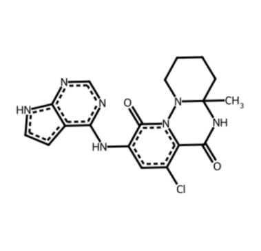 CC12CCCCN1n1c(c(Cl)cc(Nc3ncnc4[nH]ccc34)c1=O)C(=O)N2